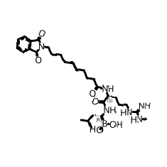 CNC(=N)NCCC[C@H](NC(=O)CCCCCCCCCN1C(=O)c2ccccc2C1=O)C(=O)N[C@@H](CC(C)C)B(O)O